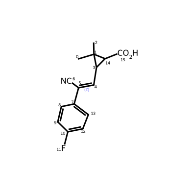 CC1(C)C(/C=C(\C#N)c2ccc(F)cc2)C1C(=O)O